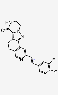 O=C1NCCn2nc3c(c21)CCc1cnc(/C=C/c2ccc(F)c(F)c2)cc1-3